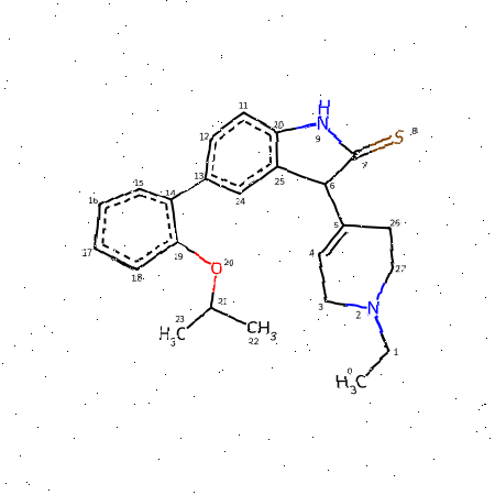 CCN1CC=C(C2C(=S)Nc3ccc(-c4ccccc4OC(C)C)cc32)CC1